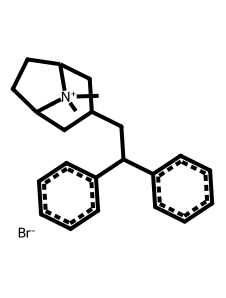 C[N+]1(C)C2CCC1CC(CC(c1ccccc1)c1ccccc1)C2.[Br-]